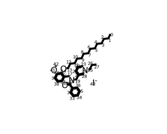 CCCCCCCCCCCCCCOc1c(CN(Cc2ccc[n+](CCC)c2)C(=O)c2ccccc2)cccc1OC.[I-]